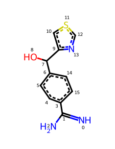 N=C(N)c1ccc(C(O)c2cscn2)cc1